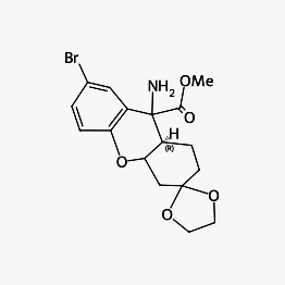 COC(=O)C1(N)c2cc(Br)ccc2OC2CC3(CC[C@@H]21)OCCO3